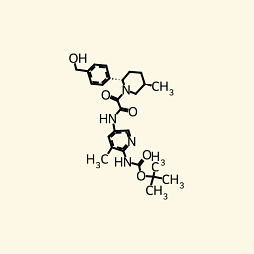 Cc1cc(NC(=O)C(=O)N2C[C@H](C)CC[C@H]2c2ccc(CO)cc2)cnc1NC(=O)OC(C)(C)C